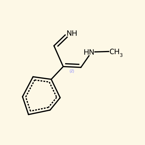 CN/C=C(\C=N)c1ccccc1